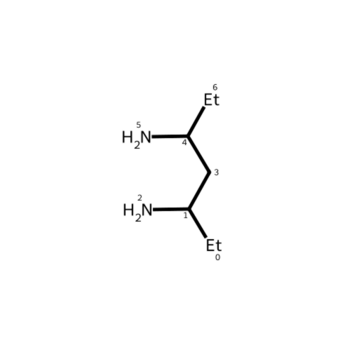 [CH2]CC(N)CC(N)CC